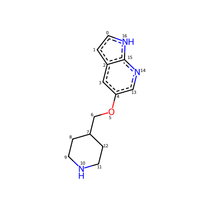 c1cc2cc(OCC3CCNCC3)cnc2[nH]1